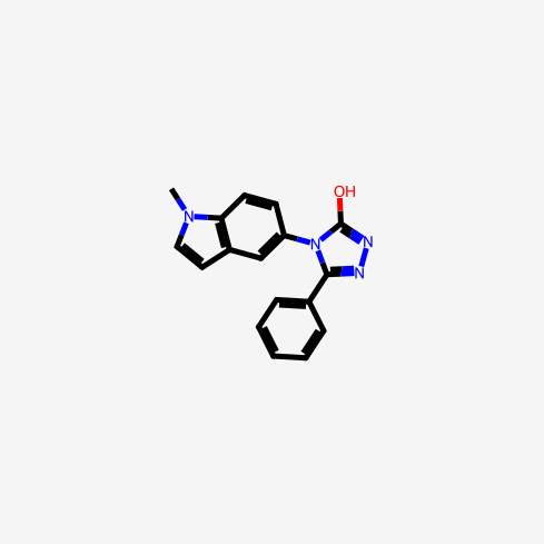 Cn1ccc2cc(-n3c(O)nnc3-c3ccccc3)ccc21